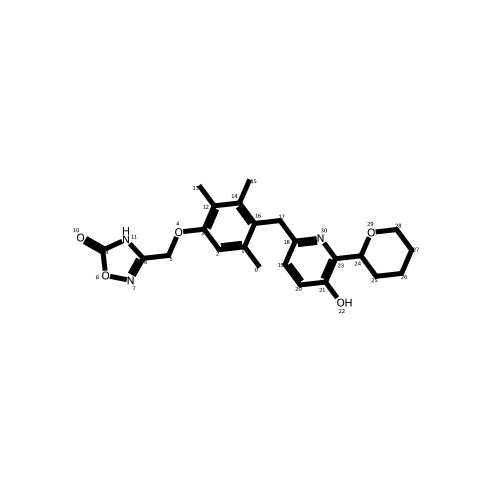 Cc1cc(OCc2noc(=O)[nH]2)c(C)c(C)c1Cc1ccc(O)c(C2CCCCO2)n1